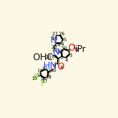 CC(C)Oc1ccc2c(C(=O)NCc3ccc(F)c(F)c3)c(C=O)n(Cc3ccccn3)c2c1